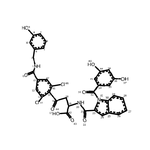 O=C(NCc1cccc(O)c1)c1cc(Cl)c(C(=O)CC(NC(=O)c2cc3ccccc3n2C(=O)c2cc(O)cc(O)c2)C(=O)O)c(Cl)c1